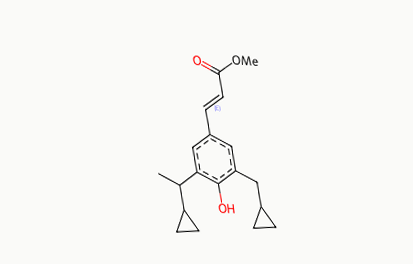 COC(=O)/C=C/c1cc(CC2CC2)c(O)c(C(C)C2CC2)c1